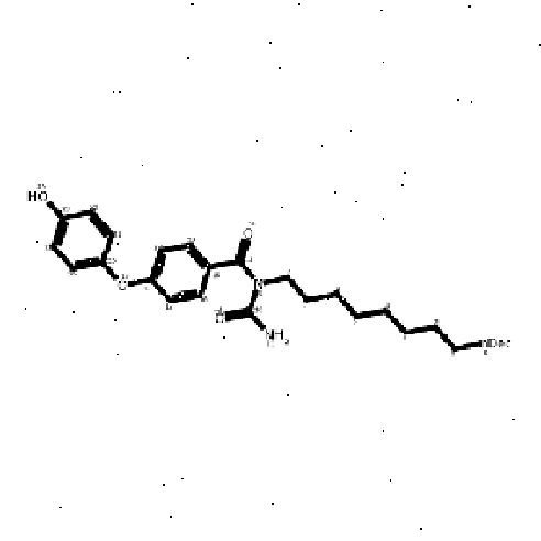 CCCCCCCCCCCCCCCCCCN(C(N)=O)C(=O)c1ccc(Oc2ccc(O)cc2)cc1